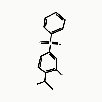 CC(C)c1ccc(S(=O)(=O)c2ccccc2)cc1F